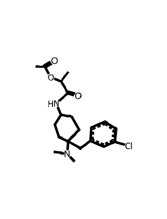 CC(=O)OC(C)C(=O)NC1CCC(Cc2cccc(Cl)c2)(N(C)C)CC1